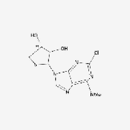 CNc1nc(Cl)nc2c1ncn2C1SC[C@H](O)C1O